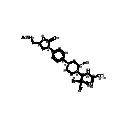 CC(=O)NCC1CN(c2ccc(N3CCN(C(NC(=O)C(Cl)(Cl)Cl)C(Br)(Br)Br)[C@@H](F)C3)cc2)C(=O)O1